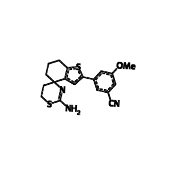 COc1cc(C#N)cc(-c2cc3c(s2)CCCC32CCSC(N)=N2)c1